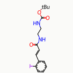 CC(C)(C)OC(=O)NCCNC(=O)/C=C/c1ccccc1I